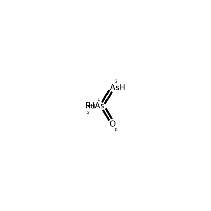 O=[AsH]=[AsH].[Ru]